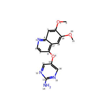 COc1cc2nccc(Oc3cnc(N)nc3)c2cc1OC